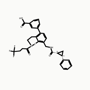 O=C(O)c1cccc(-c2ccc(CNC(=O)[C@@H]3C[C@@H]3c3ccccc3)c3c2CCN(C(=O)CCC(F)(F)F)C3)c1